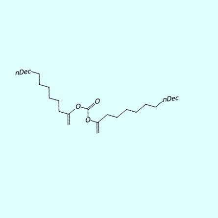 C=C(CCCCCCCCCCCCCCCC)OC(=O)OC(=C)CCCCCCCCCCCCCCCC